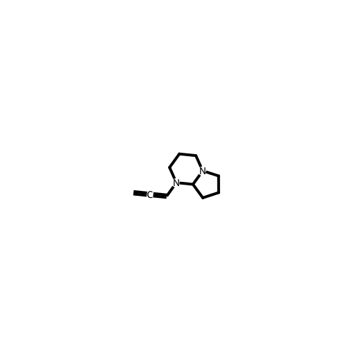 C=C=CN1CCCN2CCCC12